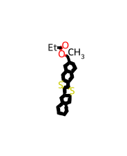 CCC(=O)OC(C)c1ccc2cc3c(cc2c1)sc1c2cc4ccccc4cc2sc31